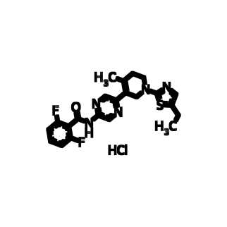 CCc1cnc(N2CCC(C)=C(c3cnc(NC(=O)c4c(F)cccc4F)cn3)C2)s1.Cl